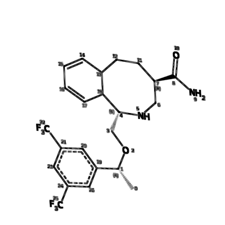 C[C@@H](OC[C@H]1NC[C@H](C(N)=O)CCC2C=CC=CC21)c1cc(C(F)(F)F)cc(C(F)(F)F)c1